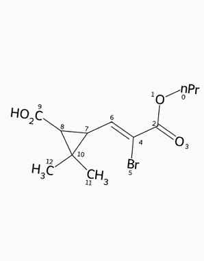 CCCOC(=O)C(Br)=CC1C(C(=O)O)C1(C)C